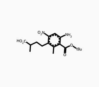 Cc1c(CCC(C)C(=O)O)c([N+](=O)[O-])cc(N)c1C(=O)OC(C)(C)C